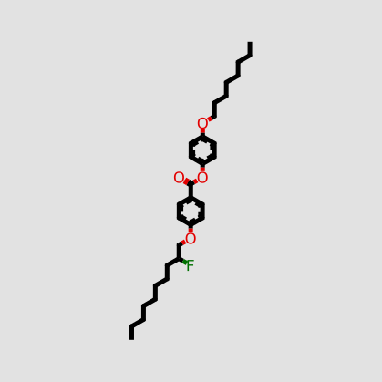 CCCCCCCCOc1ccc(OC(=O)c2ccc(OCC(F)CCCCCCCC)cc2)cc1